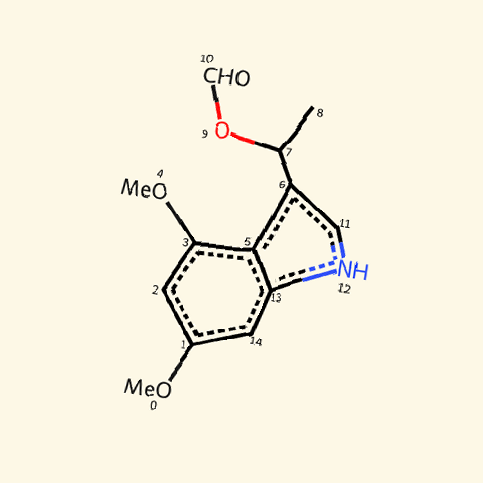 COc1cc(OC)c2c(C(C)OC=O)c[nH]c2c1